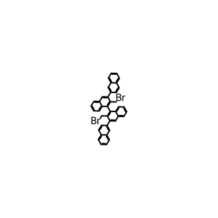 BrCc1c(-c2ccc3ccccc3c2)cc2ccccc2c1-c1c(CBr)c(-c2ccc3ccccc3c2)cc2ccccc12